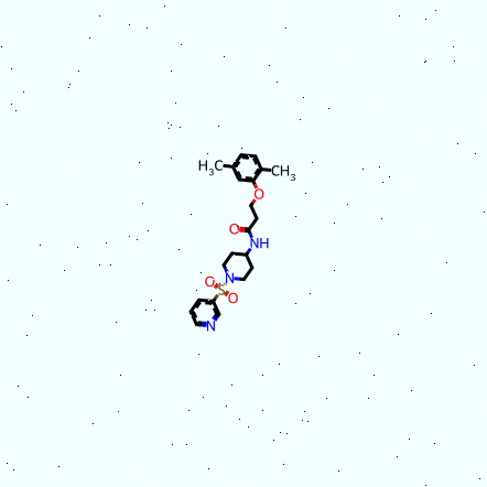 Cc1ccc(C)c(OCCC(=O)NC2CCN(S(=O)(=O)c3cccnc3)CC2)c1